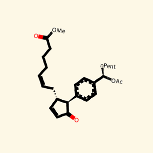 CCCCC[C@@H](OC(C)=O)c1ccc([C@H]2C(=O)C=C[C@@H]2C/C=C\CCCC(=O)OC)cc1